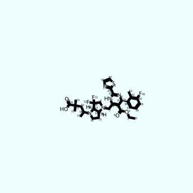 CCOC(=O)C1=C(CN2CC(F)(F)[C@H]3[C@@H]2CCN3C(C)CC(C)(C)C(=O)O)NC(c2nccs2)=N[C@H]1c1cccc(F)c1C